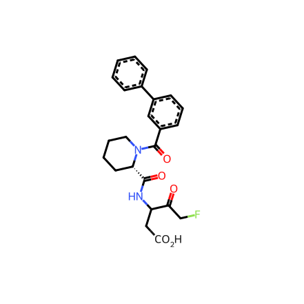 O=C(O)CC(NC(=O)[C@@H]1CCCCN1C(=O)c1cccc(-c2ccccc2)c1)C(=O)CF